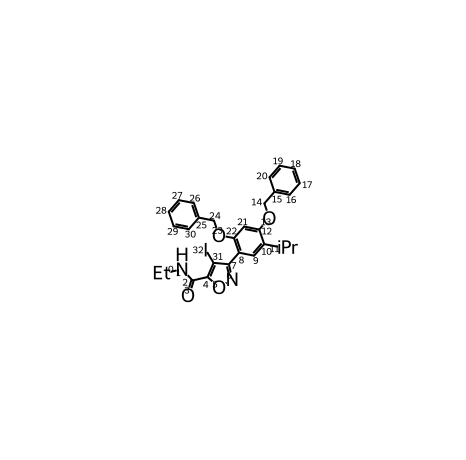 CCNC(=O)c1onc(-c2cc(C(C)C)c(OCc3ccccc3)cc2OCc2ccccc2)c1I